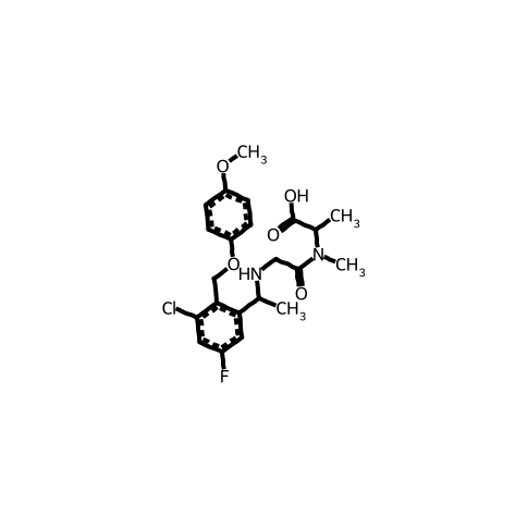 COc1ccc(OCc2c(Cl)cc(F)cc2C(C)NCC(=O)N(C)C(C)C(=O)O)cc1